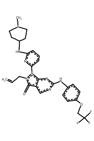 C=CCn1c(=O)c2cnc(Nc3ccc(OCC(F)(F)F)cc3)nc2n1-c1cccc(NC2CCN(C)CC2)n1